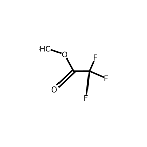 [CH]OC(=O)C(F)(F)F